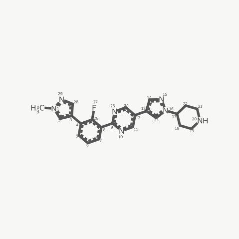 Cn1cc(-c2cccc(-c3ncc(-c4cnn(C5CCNCC5)c4)cn3)c2F)cn1